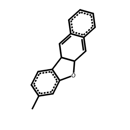 Cc1ccc2c(c1)OC1C=c3ccccc3=CC21